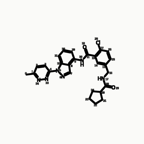 Cc1ccc(-n2ncc3c(NC(=O)c4cc(CNC(=O)C5CCCC5)ccc4Cl)cccc32)nn1